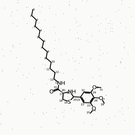 CCCCCCCCCCCCCCNC(=O)[C@@H]1CSC(c2cc(OC)c(OC)c(OC)c2)N1